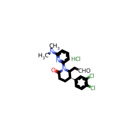 CN(C)c1cccc(N2C(=O)CC[C@@H](c3ccc(Cl)c(Cl)c3)C2CC=O)n1.Cl